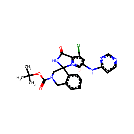 CC(C)(C)OC(=O)N1Cc2ccccc2C2(C1)NC(=O)c1c(Cl)cc(Nc3ccncn3)c(=O)n12